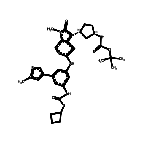 Cn1cc(-c2cc(NC(=O)OC3CCC3)cc(Nc3cc4c(cn3)n(C)c(=O)n4[C@@H]3CC[C@@H](NC(=O)OC(C)(C)C)C3)c2)cn1